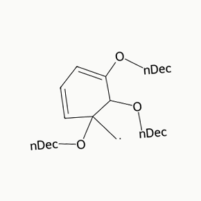 [CH2]C1(OCCCCCCCCCC)C=CC=C(OCCCCCCCCCC)C1OCCCCCCCCCC